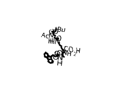 CC(=O)CNC(CCC(=O)NCCCCC(NC(=O)C(C)NC(=O)OCC1=c2ccccc2=C2C=CC=CC21)C(=O)O)C(=O)OC(C)(C)C